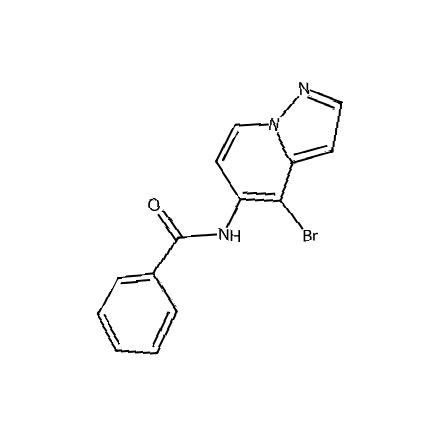 O=C(Nc1ccn2nccc2c1Br)c1ccccc1